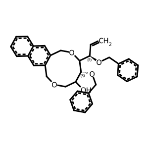 C=C[C@@H](OCc1ccccc1)C1OCc2cc3ccccc3cc2COCC(O)[C@H]1OCc1ccccc1